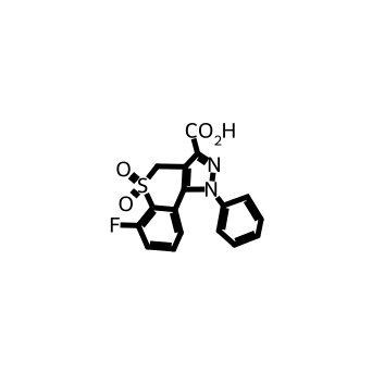 O=C(O)c1nn(-c2ccccc2)c2c1CS(=O)(=O)c1c(F)cccc1-2